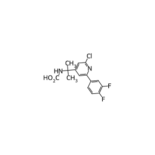 CC(C)(NC(=O)O)c1cc(Cl)nc(-c2ccc(F)c(F)c2)c1